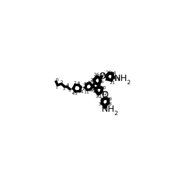 CCCCCC[C@H]1CC[C@H](C2CCC(c3ccc(Oc4ccc(N)cc4)cc3)(c3ccc(Oc4ccc(N)cc4)cc3)CC2)CC1